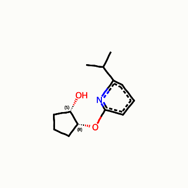 CC(C)c1cccc(O[C@@H]2CCC[C@@H]2O)n1